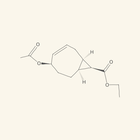 CCOC(=O)[C@@H]1[C@@H]2C/C=C\[C@H](OC(C)=O)CC[C@@H]21